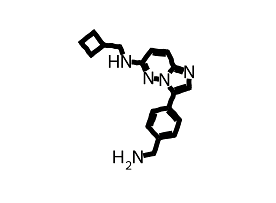 NCc1ccc(-c2cnc3ccc(NCC4CCC4)nn23)cc1